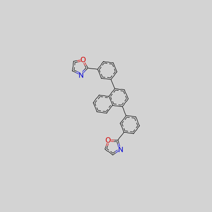 c1cc(-c2ncco2)cc(-c2ccc(-c3cccc(-c4ncco4)c3)c3ccccc23)c1